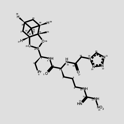 CC(C)C[C@H](NC(=O)[C@H](CCCNC(=N)N[N+](=O)[O-])NC(=O)Cn1cnnn1)B1O[C@@H]2C[C@@H]3C[C@@H](C3(C)C)[C@]2(C)O1